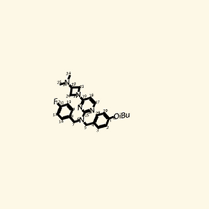 CC(C)COc1ccc(CN(Cc2ccc(F)cc2)c2nccc(N3CC(N(C)C)C3)n2)cc1